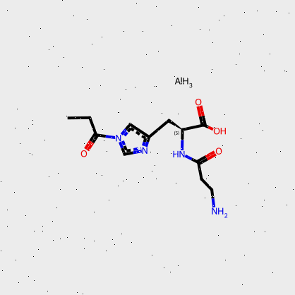 CCC(=O)n1cnc(C[C@H](NC(=O)CCN)C(=O)O)c1.[AlH3]